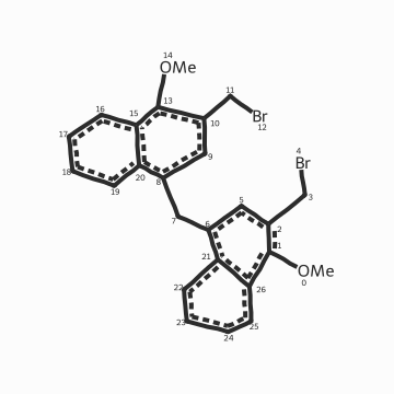 COc1c(CBr)cc(Cc2cc(CBr)c(OC)c3ccccc23)c2ccccc12